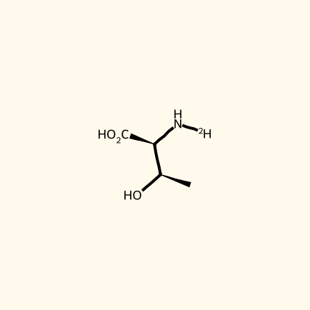 [2H]N[C@H](C(=O)O)[C@@H](C)O